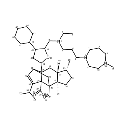 CCN(CCCN1CCCN(C)CC1)CC1OC(C23C[C@@H]4[C@H](C)CC[C@H]4C4(C=O)CC2C=C(C(C)C)[C@@]34C(=O)O)CC1C1CCCCC1